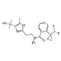 CCN(CCc1nc(C(C)(C)O)c(C)o1)C(=O)c1ccccc1C1(C(F)F)CC1